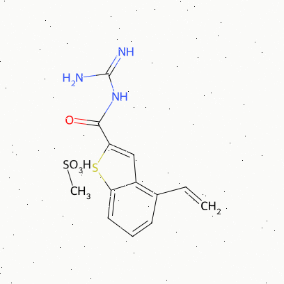 C=Cc1cccc2sc(C(=O)NC(=N)N)cc12.CS(=O)(=O)O